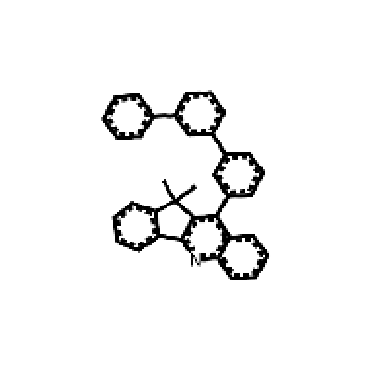 CC1(C)c2ccccc2-c2nc3ccccc3c(-c3cccc(-c4cccc(-c5ccccc5)c4)c3)c21